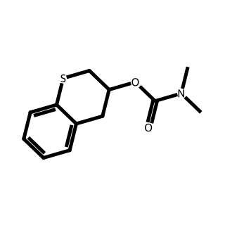 CN(C)C(=O)OC1CSc2ccccc2C1